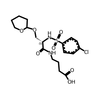 O=C(O)CCCNC(=O)[C@H](COC1CCCCO1)NS(=O)(=O)c1ccc(Cl)cc1